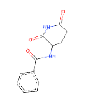 O=C1CCC(NC(=O)c2ccccc2)C(=O)N1